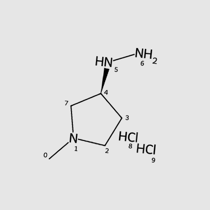 CN1CC[C@H](NN)C1.Cl.Cl